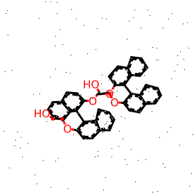 OCCOc1ccc2ccccc2c1-c1c(OCOc2ccc3ccccc3c2-c2c(OCCO)ccc3ccccc23)ccc2ccccc12